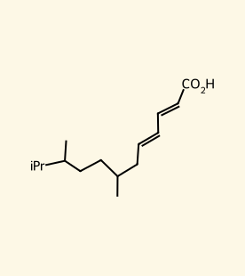 CC(CC=CC=CC(=O)O)CCC(C)C(C)C